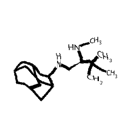 CN[C@H](CNC1C2CC3CC(C2)CC1C3)C(C)(C)C